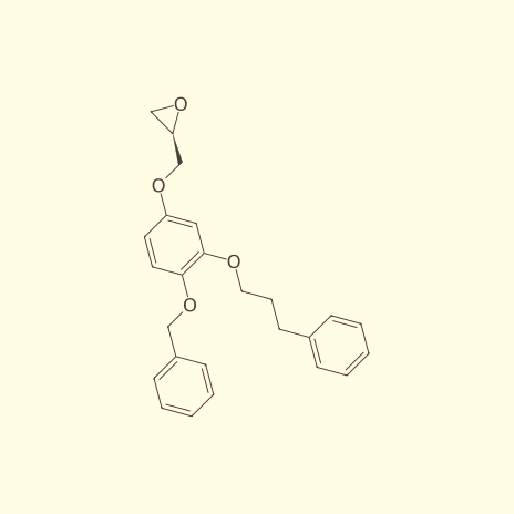 c1ccc(CCCOc2cc(OC[C@H]3CO3)ccc2OCc2ccccc2)cc1